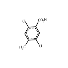 Cc1cc(Cl)c(C(=O)O)cc1Cl